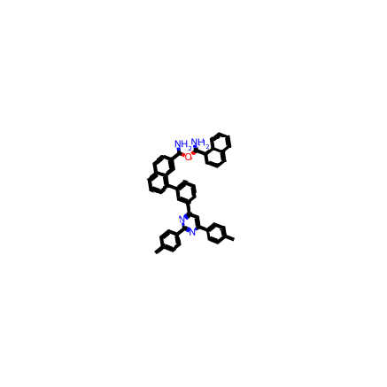 Cc1ccc(-c2cc(-c3cccc(-c4cccc5ccc(C(N)OC(N)C6C=CC=C7C=CC=CC76)cc45)c3)nc(-c3ccc(C)cc3)n2)cc1